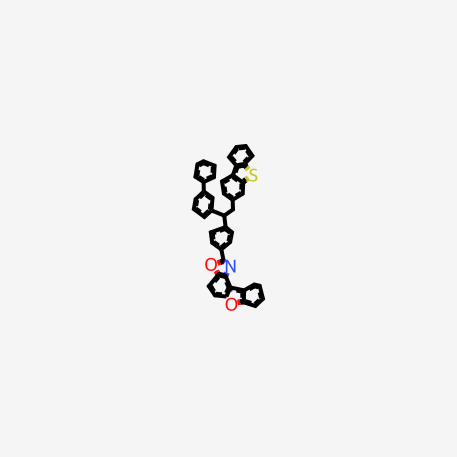 c1ccc(-c2cccc(C(Cc3ccc4c(c3)sc3ccccc34)c3ccc(-c4nc5c(ccc6oc7ccccc7c65)o4)cc3)c2)cc1